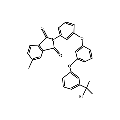 CCC(C)(C)c1cccc(Oc2cccc(Oc3cccc(N4C(=O)c5ccc(C)cc5C4=O)c3)c2)c1